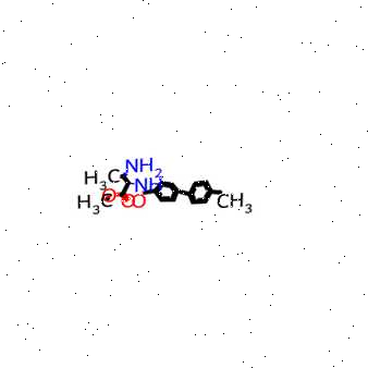 CCc1ccc(-c2ccc(C(=O)N[C@H](C(=O)OC)C(C)N)cc2)cc1